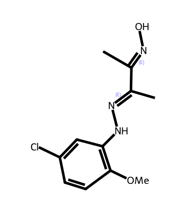 COc1ccc(Cl)cc1N/N=C(C)/C(C)=N/O